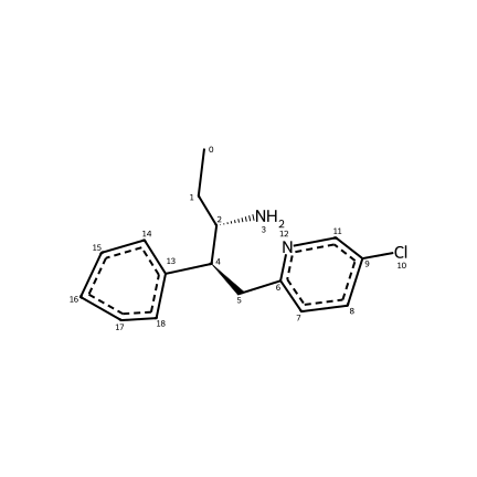 CC[C@H](N)[C@@H](Cc1ccc(Cl)cn1)c1ccccc1